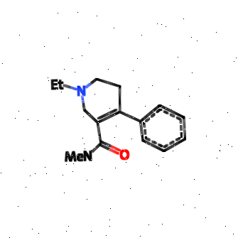 CCN1CCC(c2ccccc2)=C(C(=O)NC)C1